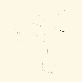 C[C@H]1[C@H](OCc2ccccc2)[C@H]2N=C(N(C)C)O[C@H]2C[C@@H]1C(C)(C)O